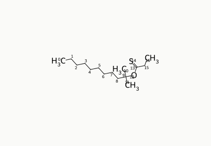 CCCCCCCCCC(C)(C)OC(=S)CC